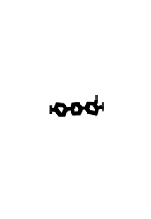 Ic1ccc(-c2ccc(-c3ccc(I)c(I)c3)cc2)cc1